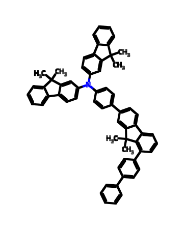 CC1(C)c2ccccc2-c2ccc(N(c3ccc(-c4ccc5c(c4)C(C)(C)c4c(-c6ccc(-c7ccccc7)cc6)cccc4-5)cc3)c3ccc4c(c3)C(C)(C)c3ccccc3-4)cc21